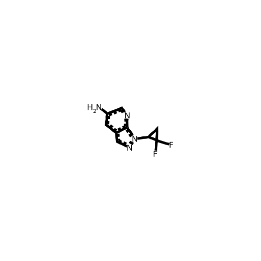 Nc1cnc2c(cnn2C2CC2(F)F)c1